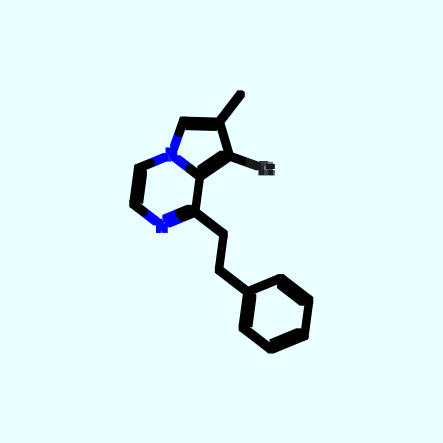 CCc1c(C)cn2ccnc(CCc3ccccc3)c12